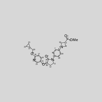 COC(=O)C1CN(c2ccc(N3CC[C@@H](Oc4ccc(OCC5CC5)nc4)C3=O)cc2)C1